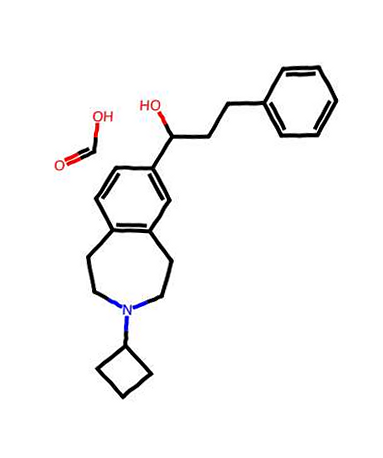 O=CO.OC(CCc1ccccc1)c1ccc2c(c1)CCN(C1CCC1)CC2